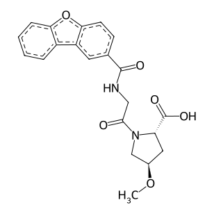 CO[C@@H]1C[C@@H](C(=O)O)N(C(=O)CNC(=O)c2ccc3oc4ccccc4c3c2)C1